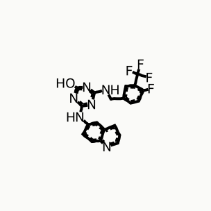 Oc1nc(NCc2ccc(F)c(C(F)(F)F)c2)nc(Nc2ccc3ncccc3c2)n1